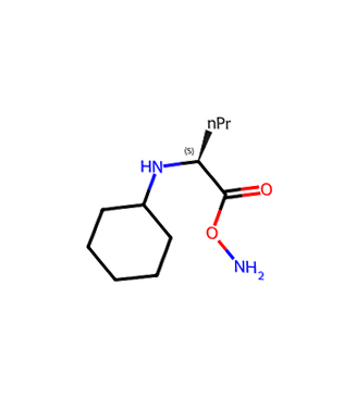 CCC[C@H](NC1CCCCC1)C(=O)ON